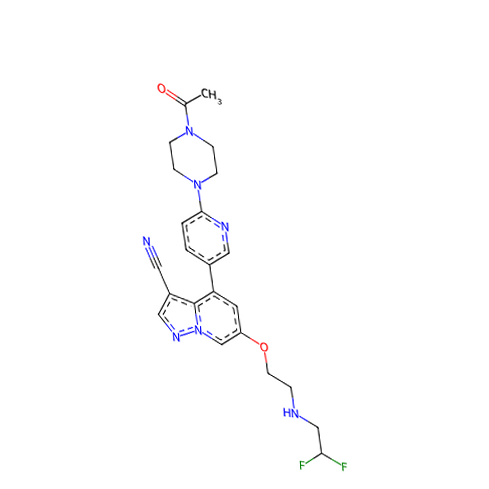 CC(=O)N1CCN(c2ccc(-c3cc(OCCNCC(F)F)cn4ncc(C#N)c34)cn2)CC1